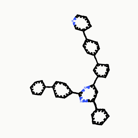 c1ccc(-c2ccc(-c3nc(-c4ccccc4)cc(-c4cccc(-c5ccc(-c6cccnc6)cc5)c4)n3)cc2)cc1